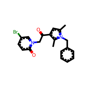 Cc1cc(C(=O)Cn2cc(Br)ccc2=O)c(C)n1Cc1ccccc1